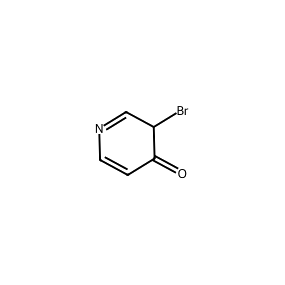 O=C1C=CN=CC1Br